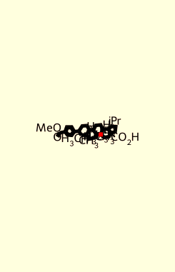 COC(=O)c1ccc(C2CC[C@]3(C)[C@H]4CC[C@@H]5[C@H]6[C@H](C(C)C)CC[C@]6(C(=O)O)CC[C@@]5(C)[C@]4(C)CC[C@H]3C2(C)C)cc1